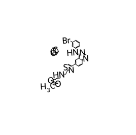 CS(=O)(=O)CCNCc1nc(-c2ccc3ncnc(Nc4cccc(Br)c4)c3c2)cs1.c1cc2ccc1CO2